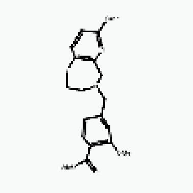 COC(=O)c1ccc(CN2CCSc3ccc(OC)nc3C2)cc1OC